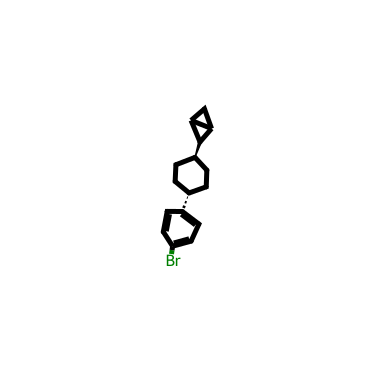 Brc1ccc([C@H]2CC[C@H](C3C4CC43)CC2)cc1